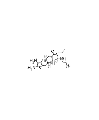 CCCN(C(=O)NCCN(C)C)C(=O)[C@H]1CN[C@@H]2Cc3sc(N)c(N)c3C[C@H]2C1